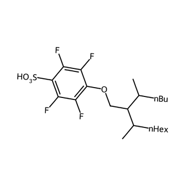 CCCCCCC(C)C(COc1c(F)c(F)c(S(=O)(=O)O)c(F)c1F)C(C)CCCC